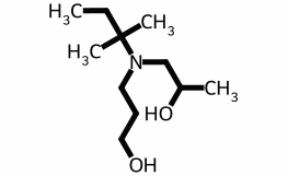 CCC(C)(C)N(CCCO)CC(C)O